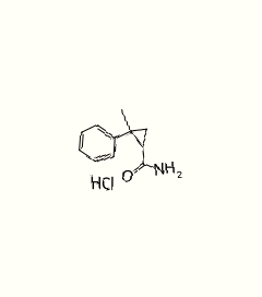 CC1(c2ccccc2)CC1C(N)=O.Cl